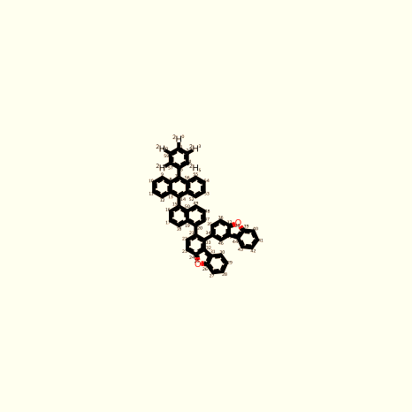 [2H]c1c([2H])c([2H])c(-c2c3ccccc3c(-c3cccc4c(-c5ccc6oc7ccccc7c6c5-c5ccc6oc7ccccc7c6c5)cccc34)c3ccccc23)c([2H])c1[2H]